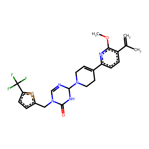 C=C(C)c1ccc(C2=CCN(C3N=CN(Cc4ccc(C(F)(F)F)s4)C(=O)N3)CC2)nc1OC